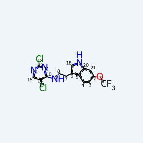 FC(F)(F)Oc1ccc2c(CCNc3nc(Cl)ncc3Cl)c[nH]c2c1